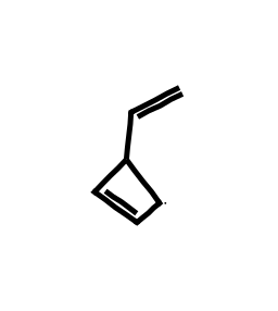 C=CC1[CH]C=C1